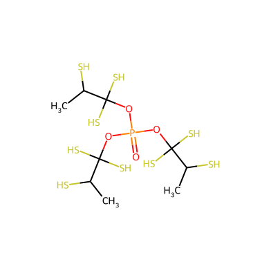 CC(S)C(S)(S)OP(=O)(OC(S)(S)C(C)S)OC(S)(S)C(C)S